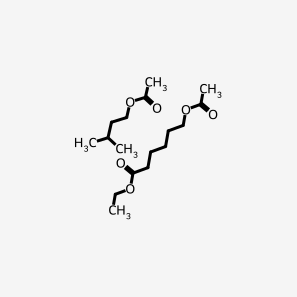 CC(=O)OCCC(C)C.CCOC(=O)CCCCCOC(C)=O